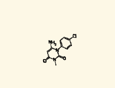 Cn1c(=O)cc(N)n(-c2ccc(Cl)cc2)c1=O